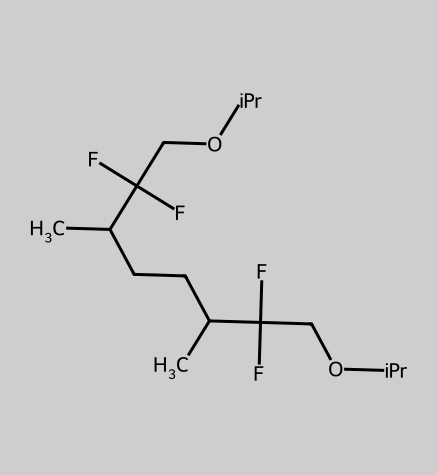 CC(C)OCC(F)(F)C(C)CCC(C)C(F)(F)COC(C)C